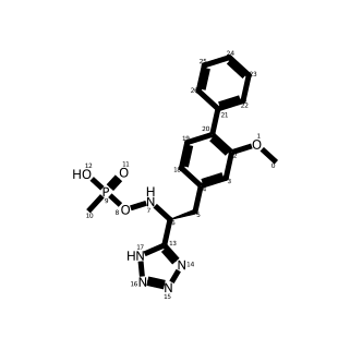 COc1cc(C[C@H](NOP(C)(=O)O)c2nnn[nH]2)ccc1-c1ccccc1